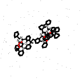 CC1(C)c2ccccc2N(c2cccc3c2Oc2c(-c4nc(-c5ccccc5)nc(-c5ccccc5)n4)cccc2C3(C)Cc2ccc(-n3c4ccccc4c4cc(-n5c6ccccc6c6ccccc65)ccc43)c(-c3nc(-c4ccccc4)cc(-c4cccc5c6ccccc6n(-c6nc(-c7ccccc7)nc(-c7ccccc7)n6)c45)n3)c2)c2ccccc21